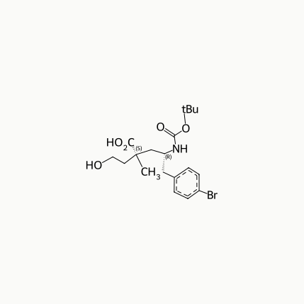 CC(C)(C)OC(=O)N[C@H](Cc1ccc(Br)cc1)C[C@@](C)(CCO)C(=O)O